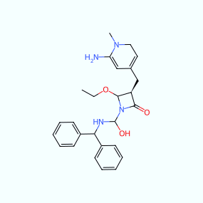 CCOC1[C@@H](CC2=CCN(C)C(N)=C2)C(=O)N1C(O)NC(c1ccccc1)c1ccccc1